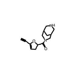 C#CC1=CCC(C(=O)N2CC3CNCC(C3)C2)O1